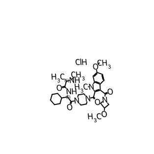 CN[C@@H](C)C(=O)N[C@H](C(=O)N1CCN(C(=O)c2c(C(=O)N3CC(OC)C3)c3ccc(OC)cc3n2C)CC1)C1CCCCC1.Cl